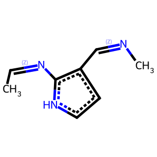 C/C=N\c1[nH]ccc1/C=N\C